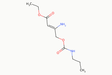 CCCNC(=O)OC/C(N)=C/C(=O)OCC